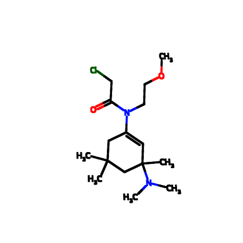 COCCN(C(=O)CCl)C1=CC(C)(N(C)C)CC(C)(C)C1